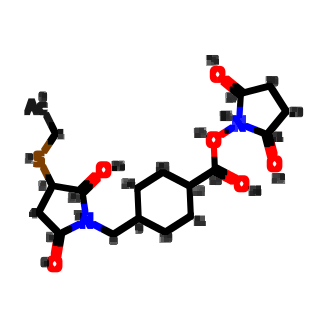 CC(=O)CSC1CC(=O)N(CC2CCC(C(=O)ON3C(=O)CCC3=O)CC2)C1=O